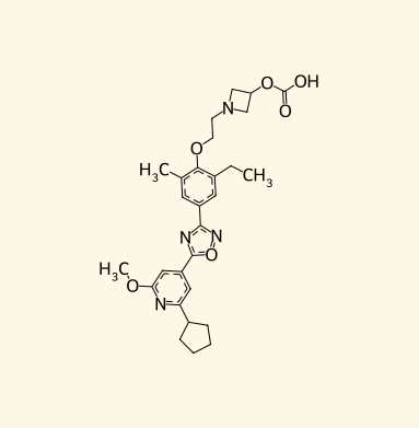 CCc1cc(-c2noc(-c3cc(OC)nc(C4CCCC4)c3)n2)cc(C)c1OCCN1CC(OC(=O)O)C1